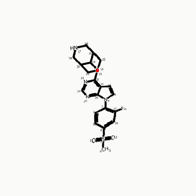 CS(=O)(=O)c1ccc(-n2ccc3c(OC4C5CNCC4COC5)ncnc32)c(F)c1